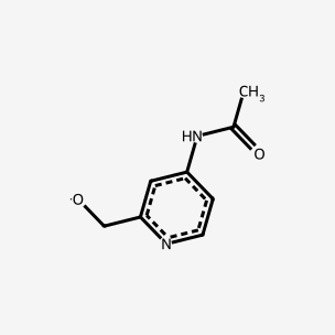 CC(=O)Nc1ccnc(C[O])c1